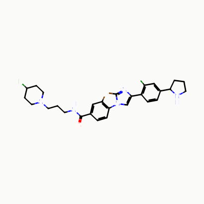 O=C(NCCCN1CCC(F)CC1)c1ccc2c(c1)sc1nc(-c3ccc(C4CCCN4)cc3F)cn12